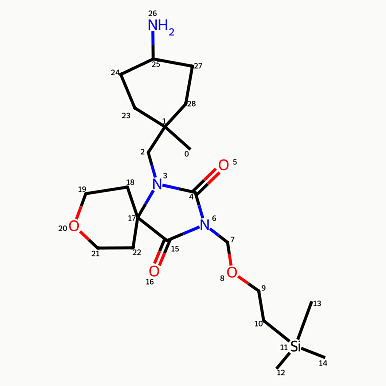 CC1(CN2C(=O)N(COCC[Si](C)(C)C)C(=O)C23CCOCC3)CCC(N)CC1